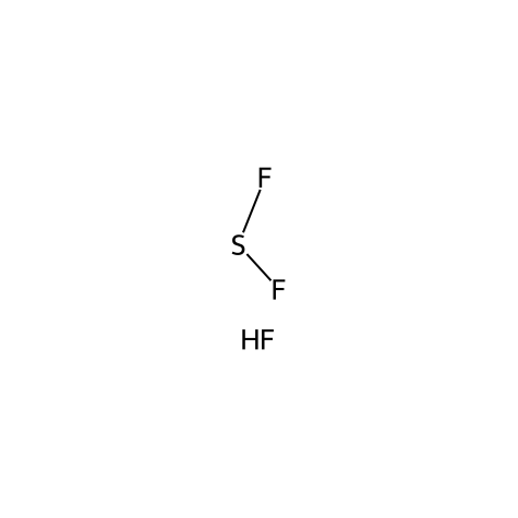 F.FSF